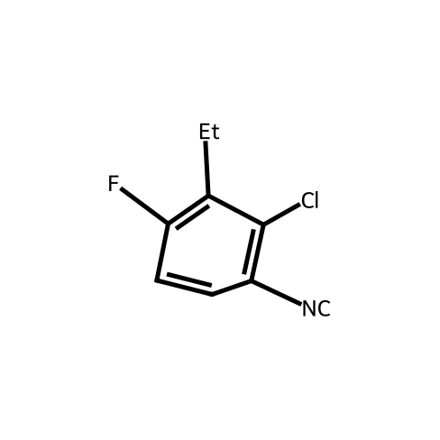 [C-]#[N+]c1ccc(F)c(CC)c1Cl